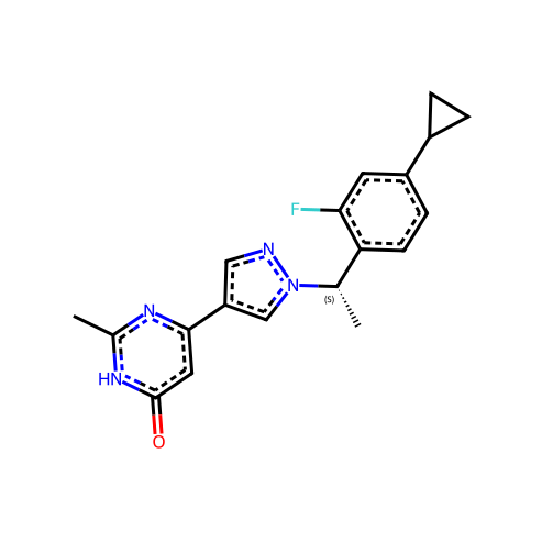 Cc1nc(-c2cnn([C@@H](C)c3ccc(C4CC4)cc3F)c2)cc(=O)[nH]1